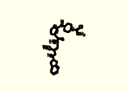 CC(=O)N1CCC(Nc2nccc(C(=O)NCC(O)CNC3Cc4ccccc4C3)n2)CC1